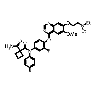 CCN(CC)CCOc1cc2ncnc(Oc3ccc(N(C(=O)C4(C(N)=O)CCC4)c4ccc(F)cc4)cc3F)c2cc1OC